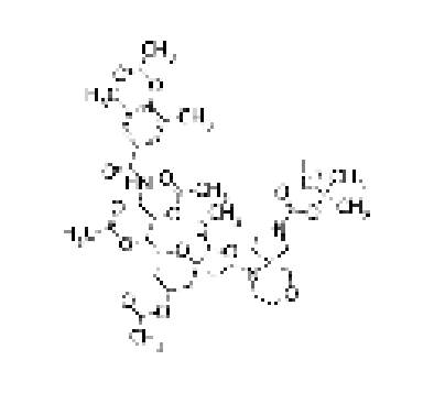 COC(=O)[C@@]1(CCN2CCOC[C@@]23CCN(C(=O)OC(C)(C)C)C3)C[C@H](OC(C)=O)C[C@H]([C@H](OC(C)=O)[C@@H](CNC(=O)c2cc(C)c(OC(C)=O)c(C)c2)OC(C)=O)O1